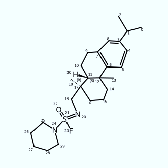 CC(C)c1ccc2c(c1)CC[C@@H]1C2(C)CCC[C@@]1(C)CN=S(=O)(F)N1CCCCC1